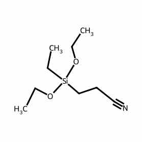 CCO[Si](CC)(CCC#N)OCC